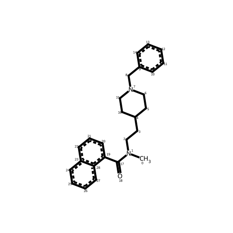 CN(CCC1CCN(Cc2ccccc2)CC1)C(=O)c1cccc2ccccc12